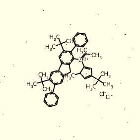 C[C](C)=[Zr+2]([C]1=CC(C(C)(C)C)=CC1C)[c]1c2c(cc(C(C)(C)C)c1-c1ccccc1)-c1cc(C(C)(C)C)c(-c3ccccc3)cc1C2.[Cl-].[Cl-]